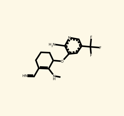 CNC1=C(C=N)CCCC1Oc1cc(C(F)(F)F)cnc1N